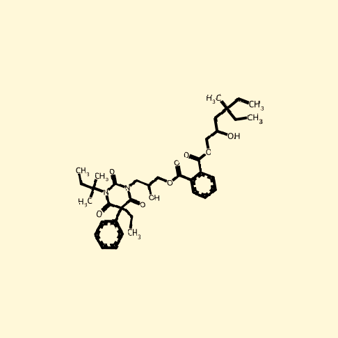 CCC(C)(CC)CC(O)COC(=O)c1ccccc1C(=O)OCC(O)CN1C(=O)N(C(C)(C)CC)C(=O)C(CC)(c2ccccc2)C1=O